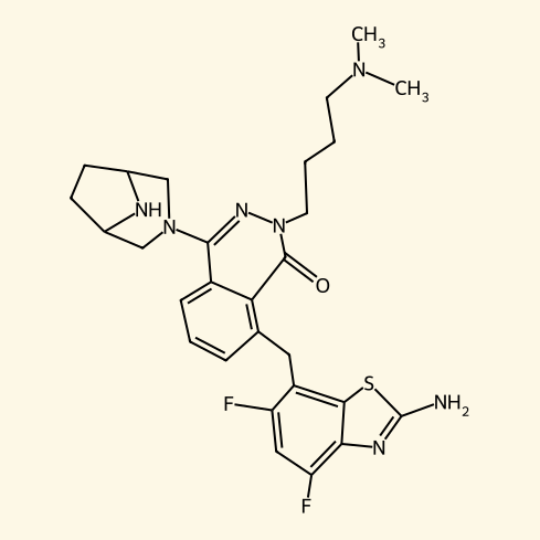 CN(C)CCCCn1nc(N2CC3CCC(C2)N3)c2cccc(Cc3c(F)cc(F)c4nc(N)sc34)c2c1=O